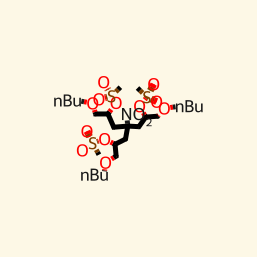 CCCCOCC(CC(CC(COCCCC)OS(C)(=O)=O)(CC(COCCCC)OS(C)(=O)=O)[N+](=O)[O-])OS(C)(=O)=O